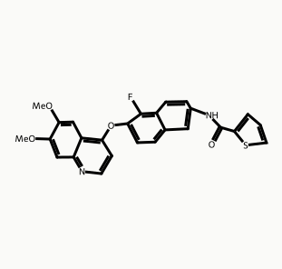 COc1cc2nccc(Oc3ccc4cc(NC(=O)c5cccs5)ccc4c3F)c2cc1OC